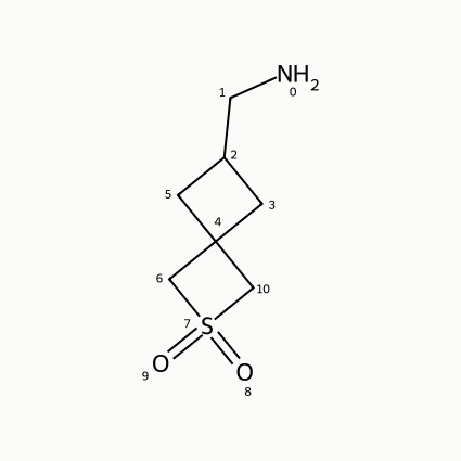 NCC1CC2(C1)CS(=O)(=O)C2